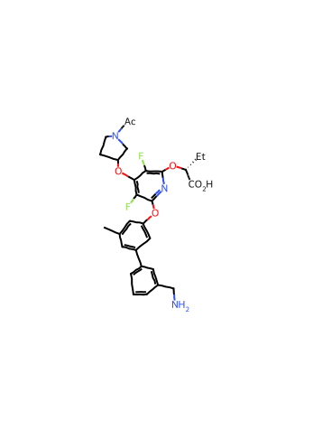 CC[C@@H](Oc1nc(Oc2cc(C)cc(-c3cccc(CN)c3)c2)c(F)c(OC2CCN(C(C)=O)C2)c1F)C(=O)O